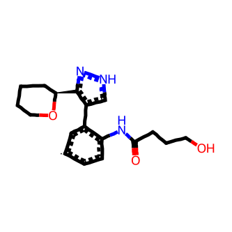 O=C(CCCO)Nc1cc[c]cc1-c1c[nH]nc1[C@@H]1CCCCO1